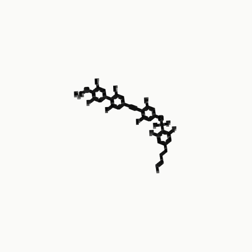 C/C=C/CCc1cc(F)c(C(F)(F)Oc2cc(F)c(C#Cc3cc(F)c(-c4cc(F)c(OC(F)(F)F)c(F)c4)c(F)c3)c(F)c2)c(F)c1